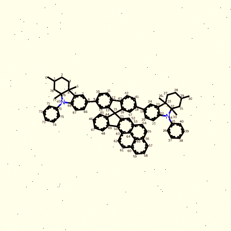 CC1CCC2(C)c3cc(-c4ccc5c(c4)C4(c6cc(-c7ccc8c(c7)C7(C)CCC(C)CC7(C)N8c7ccccc7)ccc6-5)c5ccccc5-c5c4cc4ccc6cccc7ccc5c4c67)ccc3N(c3ccccc3)C2(C)C1